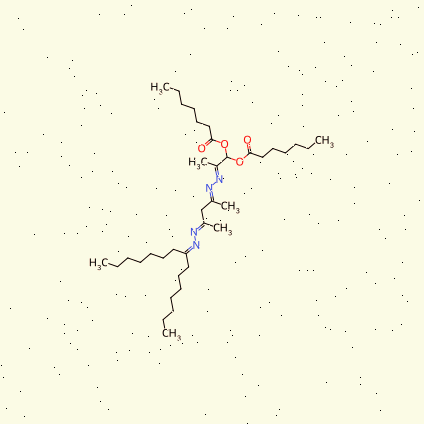 CCCCCCCC(CCCCCCC)=N/N=C(\C)C/C(C)=N/N=C(\C)C(OC(=O)CCCCCC)OC(=O)CCCCCC